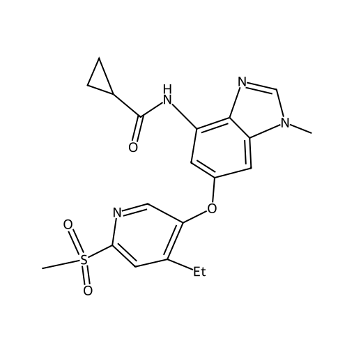 CCc1cc(S(C)(=O)=O)ncc1Oc1cc(NC(=O)C2CC2)c2ncn(C)c2c1